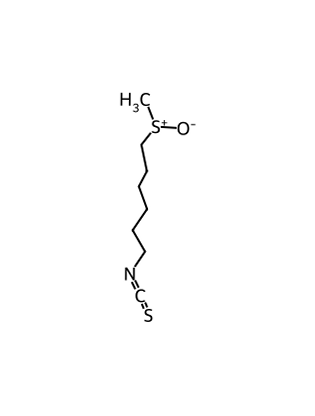 C[S+]([O-])CCCCCCN=C=S